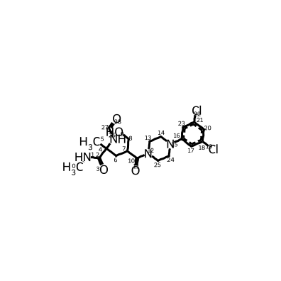 CNC(=O)C(C)(CC(CO)C(=O)N1CCN(c2cc(Cl)cc(Cl)c2)CC1)NC=O